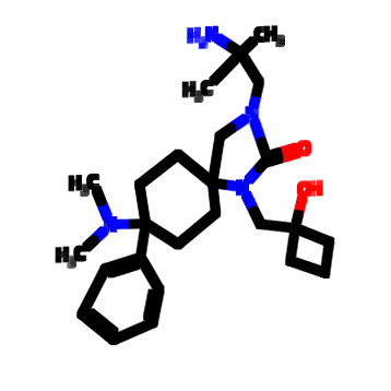 CN(C)C1(c2ccccc2)CCC2(CC1)CN(CC(C)(C)N)C(=O)N2CC1(O)CCC1